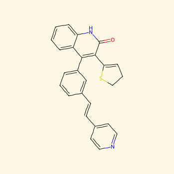 O=c1[nH]c2ccccc2c(-c2cccc(/C=C/c3ccncc3)c2)c1C1=CCCS1